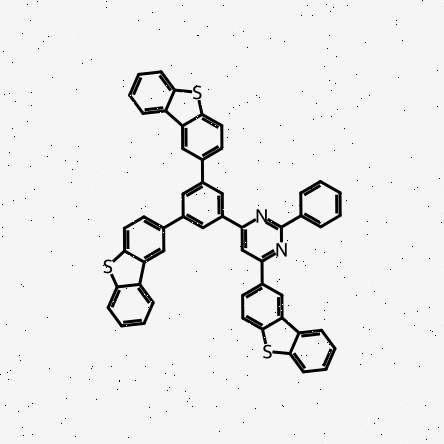 c1ccc(-c2nc(-c3cc(-c4ccc5sc6ccccc6c5c4)cc(-c4ccc5sc6ccccc6c5c4)c3)cc(-c3ccc4sc5ccccc5c4c3)n2)cc1